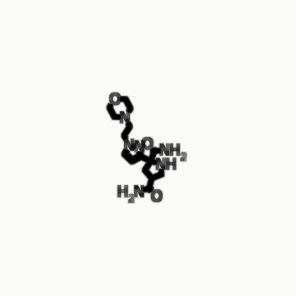 NC(=O)C1CNC(C(N)=O)(c2ccn(CCN3CCOCC3)n2)C1